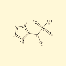 [O]C(c1ncc[nH]1)S(=O)(=O)O